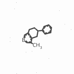 Cc1cbcc2c1CC(c1ccccc1)CC2